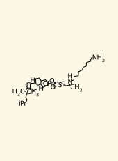 C=C(CSSCC(=O)O[C@H]1CC[C@@]2(C)C(=CC[C@H]3[C@@H]4CC[C@H]([C@H](C)CCCC(C)C)[C@@]4(C)CC[C@@H]32)C1)NCCCCCCCCCCN